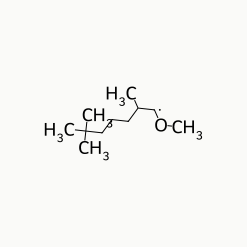 CO[CH]C(C)CCCC(C)(C)C